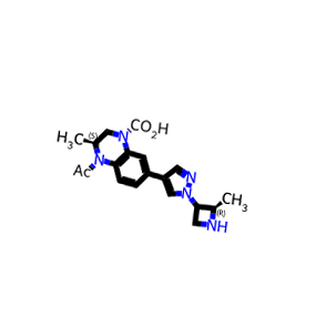 CC(=O)N1c2ccc(-c3cnn(C4CN[C@@H]4C)c3)cc2N(C(=O)O)C[C@@H]1C